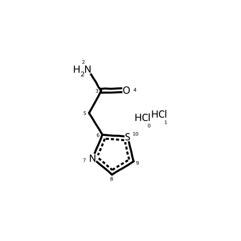 Cl.Cl.NC(=O)Cc1nccs1